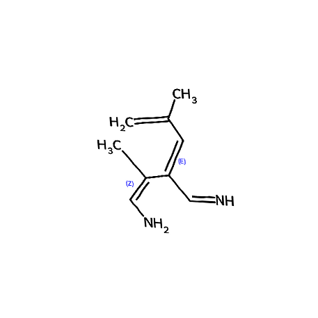 C=C(C)/C=C(C=N)\C(C)=C/N